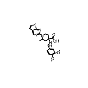 COc1ccc(CNC2(C(=O)O)CCN(c3ncc4ccsc4n3)C(C)C2)cc1OC